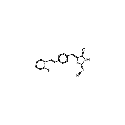 N#CN=C1NC(=O)C(=Cc2ccc(C=Cc3ccccc3F)cc2)S1